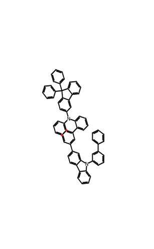 c1ccc(-c2cccc(-n3c4ccccc4c4ccc(-c5cccc(-c6ccccc6N(c6ccccc6)c6ccc7c(c6)-c6ccccc6C7(c6ccccc6)c6ccccc6)c5)cc43)c2)cc1